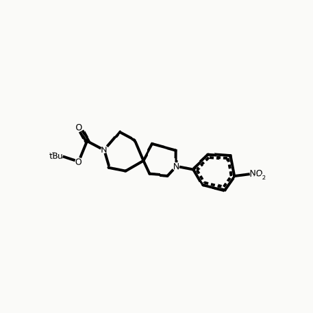 CC(C)(C)OC(=O)N1CCC2(CC1)CCN(c1ccc([N+](=O)[O-])cc1)CC2